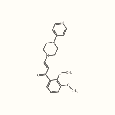 COc1cccc(C(=O)C=CN2CCN(c3ccncc3)CC2)c1OC